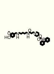 COc1cc(CNCCCCCNC(=O)CCN2CCC(OC(=O)Nc3ccccc3-c3ccccc3)CC2)ccc1O